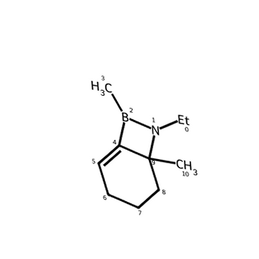 CCN1B(C)C2=CCCCC21C